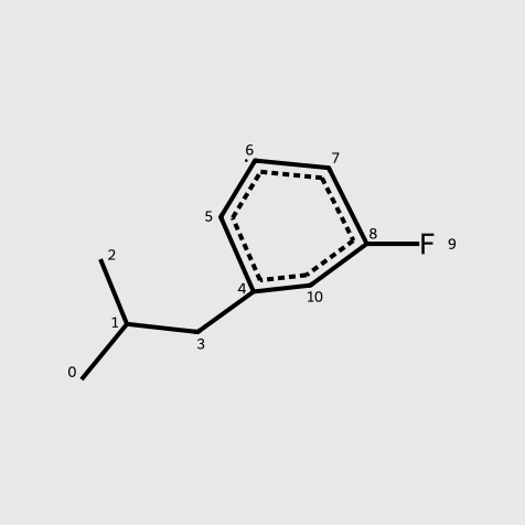 CC(C)Cc1c[c]cc(F)c1